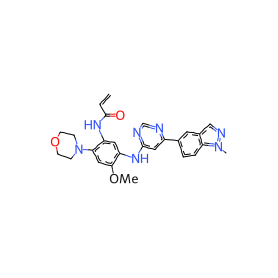 C=CC(=O)Nc1cc(Nc2cc(-c3ccc4c(cnn4C)c3)ncn2)c(OC)cc1N1CCOCC1